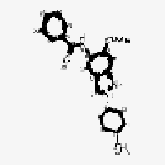 COc1cc2nn([C@H]3CC[C@H](C)CC3)cc2cc1NC(=O)c1ccccc1